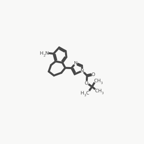 CC(C)(C)OC(=O)n1cnc(C2CCCCc3c(N)cccc32)c1